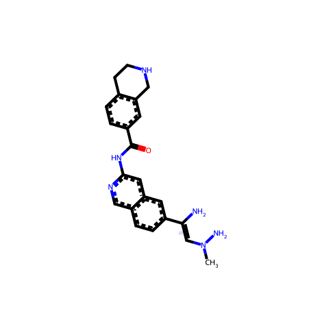 CN(N)/C=C(\N)c1ccc2cnc(NC(=O)c3ccc4c(c3)CNCC4)cc2c1